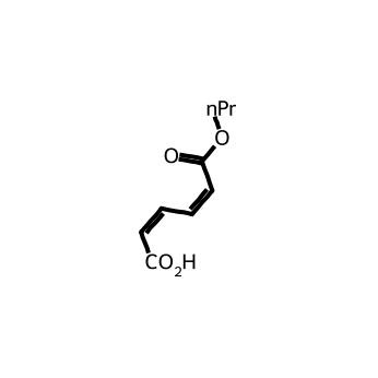 CCCOC(=O)/C=C\C=C/C(=O)O